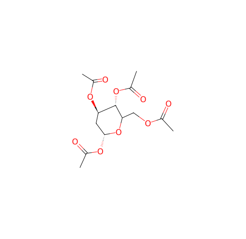 CC(=O)OCC1O[C@H](OC(C)=O)C[C@@H](OC(C)=O)[C@@H]1OC(C)=O